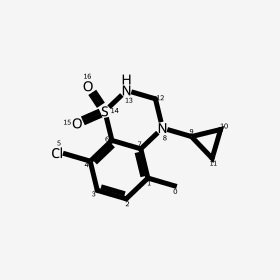 Cc1ccc(Cl)c2c1N(C1CC1)CNS2(=O)=O